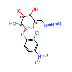 [N-]=[N+]=NC[C@H]1O[C@@H](Oc2ccc([N+](=O)[O-])cc2Cl)[C@H](O)[C@@H](O)[C@@H]1O